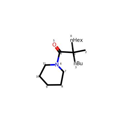 CCCCCCC(C)(CCCC)C(=O)N1CCCCC1